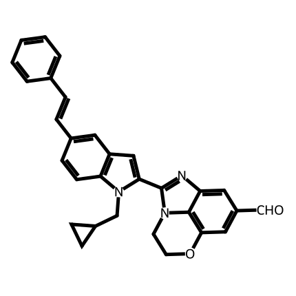 O=Cc1cc2c3c(c1)nc(-c1cc4cc(C=Cc5ccccc5)ccc4n1CC1CC1)n3CCO2